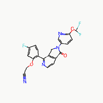 N#CCOc1cc(F)ccc1-c1nccc2c1CN(c1ccc(OC(F)F)nc1)C2=O